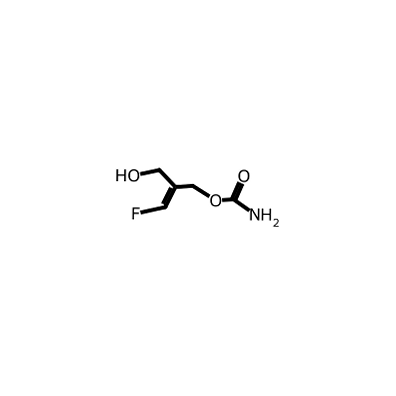 NC(=O)OCC(=CF)CO